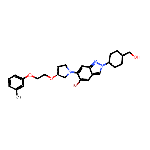 N#Cc1cccc(OCCO[C@H]2CCN(c3cc4nn(C5CCC(CO)CC5)cc4cc3Br)C2)c1